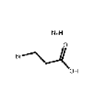 O=C(O)CCBr.[NaH]